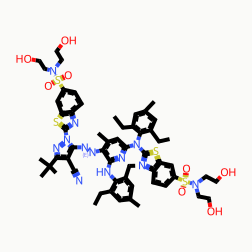 CCc1cc(C)cc(CC)c1Nc1nc(N(c2nc3ccc(S(=O)(=O)N(CCO)CCO)cc3s2)c2c(CC)cc(C)cc2CC)cc(C)c1/N=N/c1c(C#N)c(C(C)(C)C)nn1-c1nc2ccc(S(=O)(=O)N(CCO)CCO)cc2s1